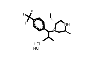 CC[C@@H]1CN[C@@H](C)CN1C(c1ccc(C(F)(F)F)cc1)C(C)C.Cl.Cl